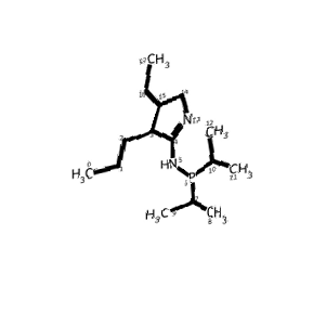 CCCC1C(NP(C(C)C)C(C)C)=NCC1CC